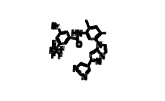 Cc1cc(C)c(-n2ccn3nc(-c4cncnc4)cc23)cc1NC(=O)c1cc(Br)cc(S(F)(F)(F)(F)F)c1